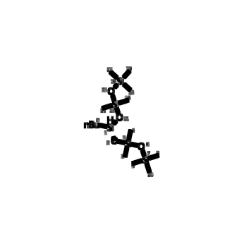 CCCC[SiH](O[Si](C)(C)O[Si](C)(C)C)O[Si](C)(C)O[Si](C)(C)C